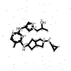 Cc1cnc(Nc2cnn(CC(C)O)c2)nc1NC1CC2CN(SC3CC3)CC2C1